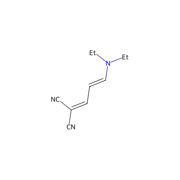 CCN(/C=C/C=C(C#N)C#N)CC